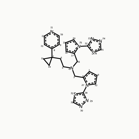 c1cc(CN(CCC2(c3ccncc3)CC2)Cc2cccn2-c2nncs2)n(-c2nncs2)c1